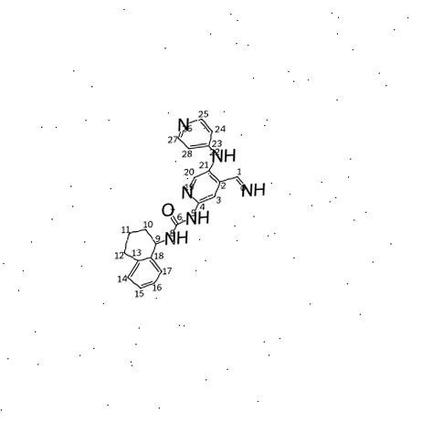 N=Cc1cc(NC(=O)NC2CCCc3ccccc32)ncc1Nc1ccncc1